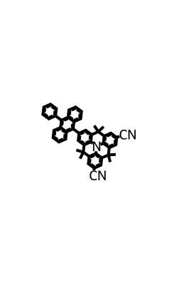 CC1(C)c2cc(C#N)cc3c2N2c4c1cc(C#N)cc4C(C)(C)c1cc(-c4c5ccccc5c(-c5ccccc5)c5ccccc45)cc(c12)C3(C)C